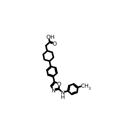 Cc1ccc(Nc2ncc(-c3ccc(C4CCC(CC(=O)O)CC4)cc3)o2)cc1